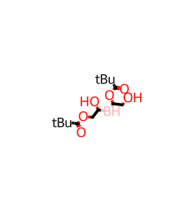 CC(C)(C)C(=O)OCC(O)BC(CO)OC(=O)C(C)(C)C